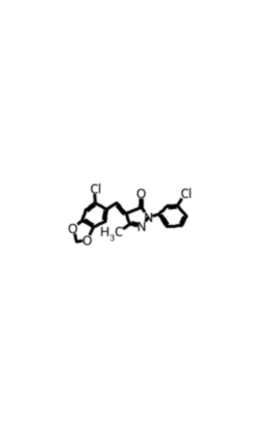 CC1=NN(c2cccc(Cl)c2)C(=O)/C1=C/c1cc2c(cc1Cl)OCO2